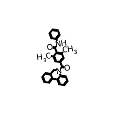 Cc1cc(C(=O)N2Cc3ccccc3-c3ccccc32)cc(C)c1C(=O)Nc1ccccc1